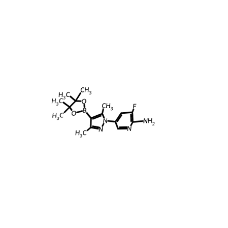 Cc1nn(-c2cnc(N)c(F)c2)c(C)c1B1OC(C)(C)C(C)(C)O1